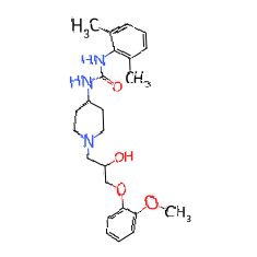 COc1ccccc1OCC(O)CN1CCC(NC(=O)Nc2c(C)cccc2C)CC1